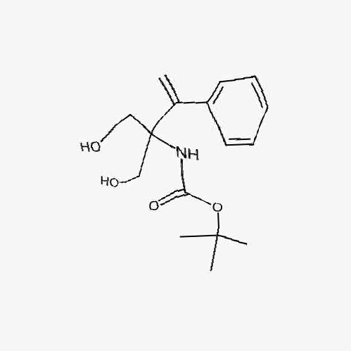 C=C(c1ccccc1)C(CO)(CO)NC(=O)OC(C)(C)C